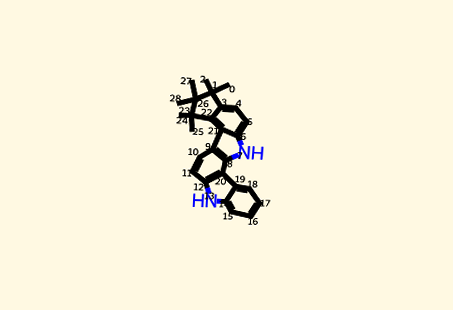 CC1(C)c2ccc3[nH]c4c(ccc5[nH]c6ccccc6c54)c3c2C(C)(C)C1(C)C